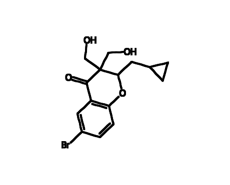 O=C1c2cc(Br)ccc2OC(CC2CC2)C1(CO)CO